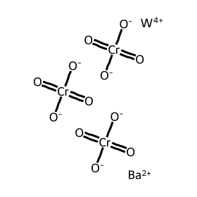 [Ba+2].[O]=[Cr](=[O])([O-])[O-].[O]=[Cr](=[O])([O-])[O-].[O]=[Cr](=[O])([O-])[O-].[W+4]